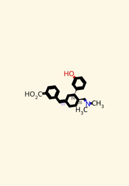 CN(C)C[C@H]1CC/C(=C/c2cccc(C(=O)O)c2)C[C@@H]1c1cccc(O)c1